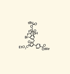 CCOC(=O)n1cc(-c2ccc(C(=O)OC)cc2)n(Cc2ccc(C(F)(F)P(=O)(O)OCOC(=O)C(C)(C)C)c(Br)c2)c1=O